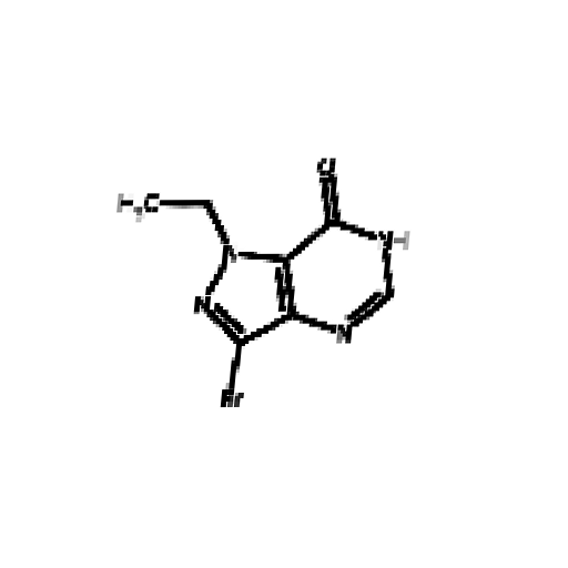 CCn1nc(Br)c2nc[nH]c(=O)c21